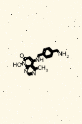 Cc1ncnc2c1c(NCc1ccc(CN)cc1)cc(=O)n2O